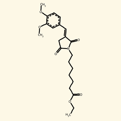 CCOC(=O)CCCCCCN1C(=O)C/C(=C\c2ccc(OC)c(OC)c2)C1=O